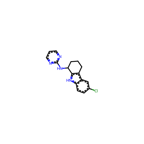 Clc1ccc2[nH]c3c(c2c1)CCCC3Nc1ncccn1